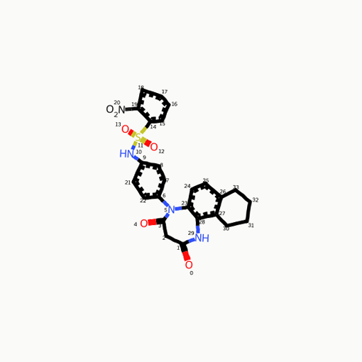 O=C1CC(=O)N(c2ccc(NS(=O)(=O)c3ccccc3[N+](=O)[O-])cc2)c2ccc3c(c2N1)CCCC3